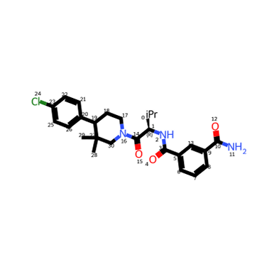 CC(C)[C@@H](NC(=O)c1cccc(C(N)=O)c1)C(=O)N1CCC(c2ccc(Cl)cc2)C(C)(C)C1